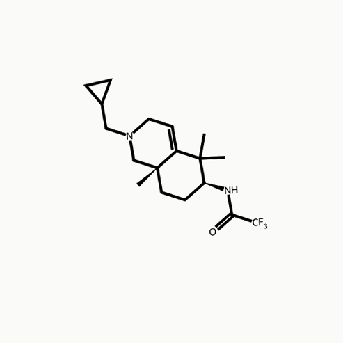 CC1(C)C2=CCN(CC3CC3)C[C@@]2(C)CC[C@@H]1NC(=O)C(F)(F)F